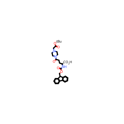 CC(C)(C)OC(=O)CN1CCN(C(=O)CC[C@H](NC(=O)OCC2c3ccccc3-c3ccccc32)C(=O)O)CC1